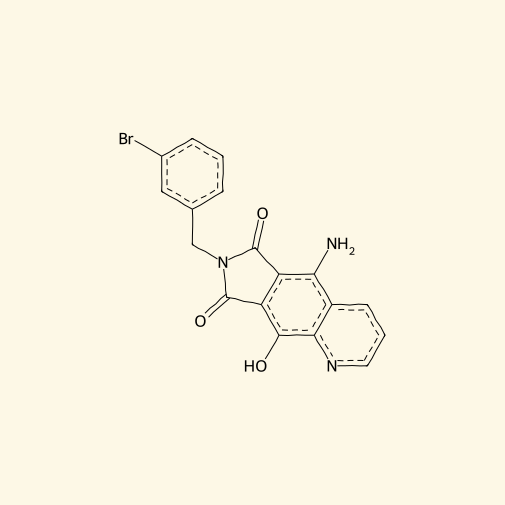 Nc1c2c(c(O)c3ncccc13)C(=O)N(Cc1cccc(Br)c1)C2=O